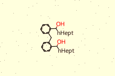 CCCCCCCC(O)c1ccccc1Cc1ccccc1C(O)CCCCCCC